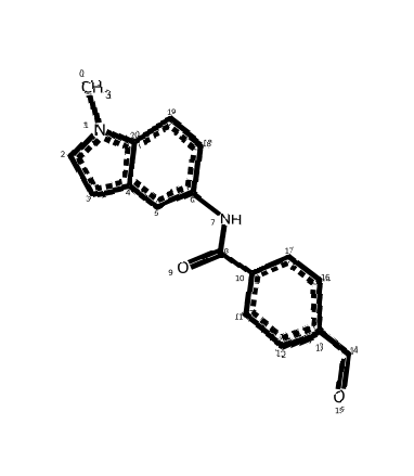 Cn1ccc2cc(NC(=O)c3ccc(C=O)cc3)ccc21